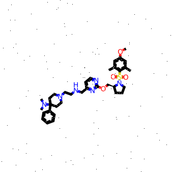 COc1cc(C)c(S(=O)(=O)N2CCC[C@H]2COc2nccc(CNCCN3CCC(c4ccccc4)(N(C)C)CC3)n2)c(C)c1